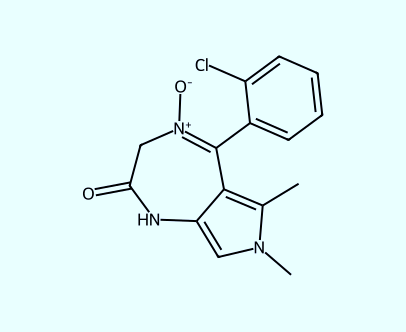 Cc1c2c(cn1C)NC(=O)C[N+]([O-])=C2c1ccccc1Cl